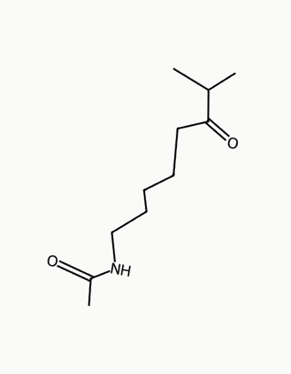 CC(=O)NCCCCCC(=O)C(C)C